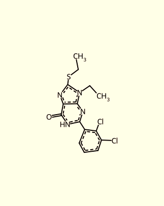 CCSc1nc2c(=O)[nH]c(-c3cccc(Cl)c3Cl)nc2n1CC